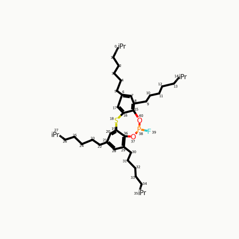 CC(C)CCCCCc1cc(CCCCCC(C)C)c2c(c1)Sc1cc(CCCCCC(C)C)cc(CCCCCC(C)C)c1OP(F)O2